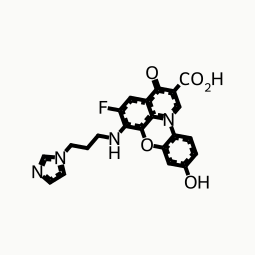 O=C(O)c1cn2c3c(c(NCCCn4ccnc4)c(F)cc3c1=O)Oc1cc(O)ccc1-2